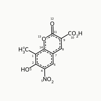 Cc1c(O)c([N+](=O)[O-])cc2cc(C(=O)O)c(=O)oc12